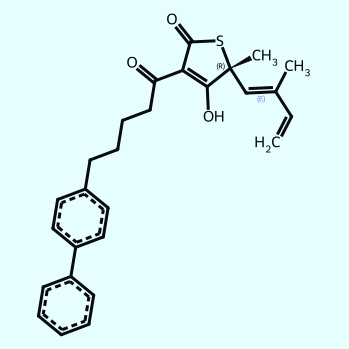 C=C/C(C)=C/[C@@]1(C)SC(=O)C(C(=O)CCCCc2ccc(-c3ccccc3)cc2)=C1O